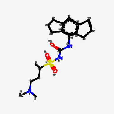 CC(=O)N(C)CCC(C)S(=O)(=O)NC(=O)Nc1c2c(cc3c1CCC3)CCC2